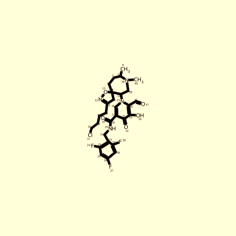 CC1CCC2(CC(CCCCCl)=NO2)C(n2cc(C(=O)NCc3c(F)cc(F)cc3F)c(=O)c(O)c2C=O)CN1C